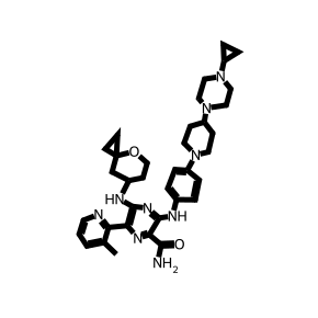 Cc1cccnc1-c1nc(C(N)=O)c(Nc2ccc(N3CCC(N4CCN(C5CC5)CC4)CC3)cc2)nc1NC1CCOC2(CC2)C1